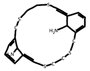 NC1C2=CSCCSCC3=CC=CC(=CSCCSCC1=CC=C2)C3N